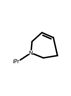 [CH2]C(C)N1CC=CCC1